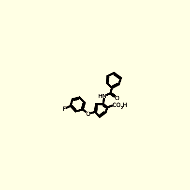 O=C(Nc1cc(Oc2cccc(F)c2)ccc1C(=O)O)c1ccccc1